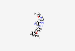 C=CC(=O)N1CCCC(Nc2ccncc2Nc2ccc(Oc3cccc(F)c3C)cc2)C1